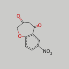 O=C1COc2ccc([N+](=O)[O-])cc2C(=O)C1